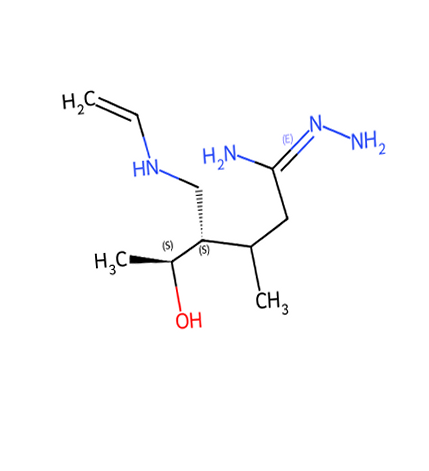 C=CNC[C@H](C(C)C/C(N)=N\N)[C@H](C)O